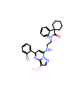 Bc1cnn2c(NCCNC(=O)C3(c4ccccc4)CCCCC3)cc(-c3ccccc3Cl)nc12